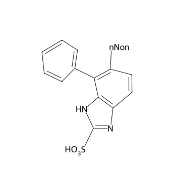 CCCCCCCCCc1ccc2nc(S(=O)(=O)O)[nH]c2c1-c1ccccc1